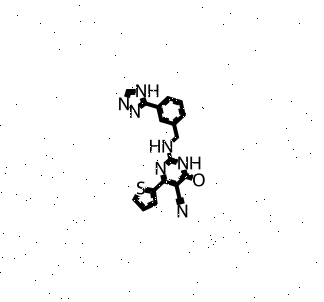 N#Cc1c(-c2cccs2)nc(NCc2cccc(-c3nnc[nH]3)c2)[nH]c1=O